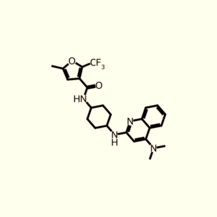 Cc1cc(C(=O)NC2CCC(Nc3cc(N(C)C)c4ccccc4n3)CC2)c(C(F)(F)F)o1